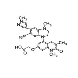 Cc1cc2c(N3CCN(C)c4cc(-c5cnn(C)c5)c(C#N)cc43)cc(OCC(=O)O)cc2n(C)c1=O